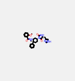 COc1ccccc1C(=O)NC[C@]1(c2ccccc2)CC[C@H](N2C(=O)N[C@@H](Cc3c[nH]cn3)C2=O)CC1